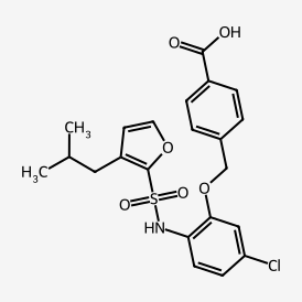 CC(C)Cc1ccoc1S(=O)(=O)Nc1ccc(Cl)cc1OCc1ccc(C(=O)O)cc1